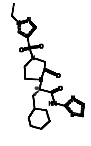 CCn1cc(S(=O)(=O)N2CCN([C@@H](CC3CCCCC3)C(=O)Nc3nccs3)C(=O)C2)cn1